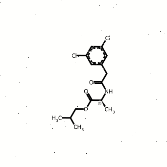 CC(C)COC(=O)[C@H](C)NC(=O)Cc1cc(Cl)cc(Cl)c1